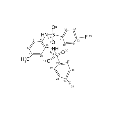 Cc1ccc(NS(=O)(=O)c2ccc(F)cc2)c(NS(=O)(=O)c2ccc(F)cc2)c1